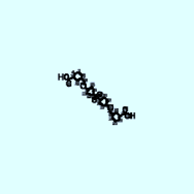 O=C(O)c1cccc(COc2ccc(S(=O)(=O)c3ccc(OCc4cccc(C(=O)O)c4)cc3)cc2)c1